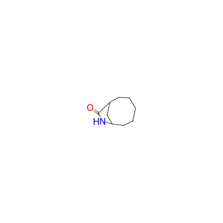 O=C1NC2CCCCCC1C2